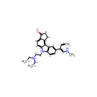 C=C/C(=C\NC)c1ccc2c(c1)c1c3c(ccc1n2CCN(CC)CC)C(=O)CC3